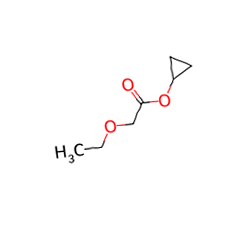 CCOCC(=O)OC1CC1